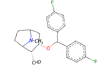 CN1C2CCC1[C@@H](C=O)[C@@H](OC(c1ccc(F)cc1)c1ccc(F)cc1)C2